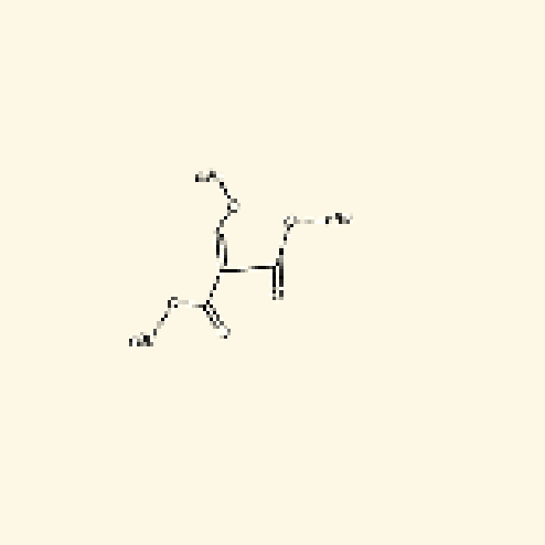 CCCCOC=C(C(=O)OCCCC)C(=O)OCCCC